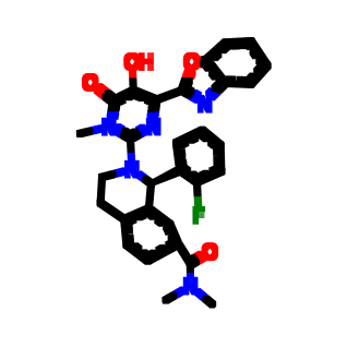 CN(C)C(=O)c1ccc2c(c1)[C@H](c1ccccc1F)N(c1nc(-c3nc4ccccc4o3)c(O)c(=O)n1C)CC2